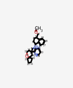 COCC1CC[C@H](NCC2(c3ccccn3)CCOC3(CCCC3)C2)c2ccccc21